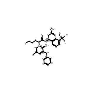 CCCCC(C(=O)N[C@@H](CC(=O)O)c1cccc(C(F)(F)F)c1)n1cc(C)cc(Cc2ccccc2)c1=O